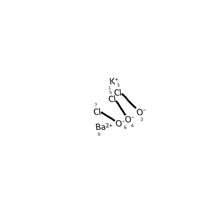 [Ba+2].[K+].[O-]Cl.[O-]Cl.[O-]Cl